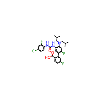 CC(C)CN(CC(C)C)c1cc(F)c(-c2cc(F)ccc2C(=O)O)cc1NC(=O)Nc1ccc(Cl)cc1F